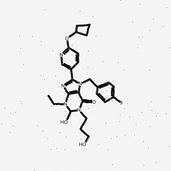 CCN1c2nc(-c3ccc(OC4CCC4)nc3)n(Cc3ccc(F)cc3)c2C(=O)N(CCCO)C1O